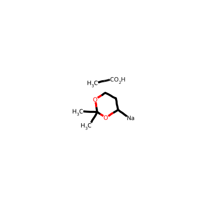 CC(=O)O.CC1(C)OCC[CH]([Na])O1